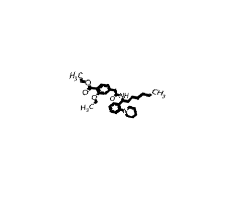 CCCCCCC(NC(=O)Cc1ccc(C(=O)OCC)c(OCC)c1)c1ccccc1N1CCCCC1